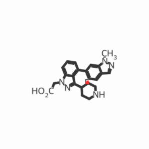 Cn1ncc2cc(F)c(-c3cccc4c3c(C3CCNCC3)nn4CC(=O)O)cc21